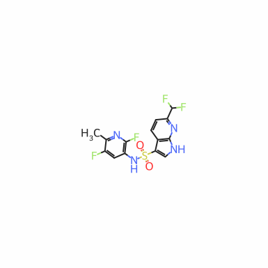 Cc1nc(F)c(NS(=O)(=O)c2c[nH]c3nc(C(F)F)ccc23)cc1F